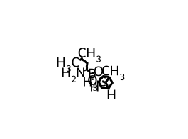 CC(C)C[C@H](N)B1O[C@@H]2C[C@@H]3CC(C3C)[C@]2(C)O1